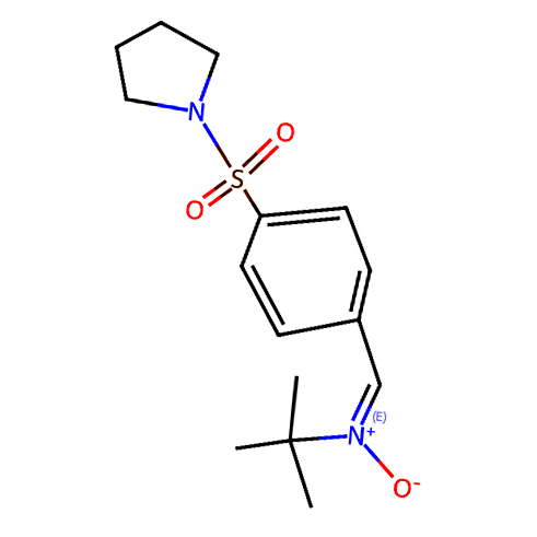 CC(C)(C)/[N+]([O-])=C\c1ccc(S(=O)(=O)N2CCCC2)cc1